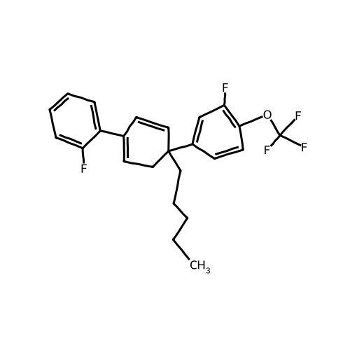 CCCCCC1(c2ccc(OC(F)(F)F)c(F)c2)C=CC(c2ccccc2F)=CC1